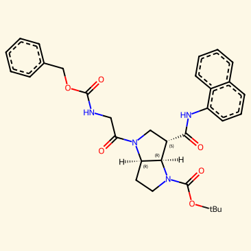 CC(C)(C)OC(=O)N1CC[C@@H]2[C@H]1[C@@H](C(=O)Nc1cccc3ccccc13)CN2C(=O)CNC(=O)OCc1ccccc1